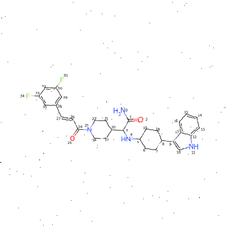 NC(=O)C(NC1CCC(c2c[nH]c3ccccc23)CC1)C1CCN(C(=O)/C=C/c2cc(F)cc(F)c2)CC1